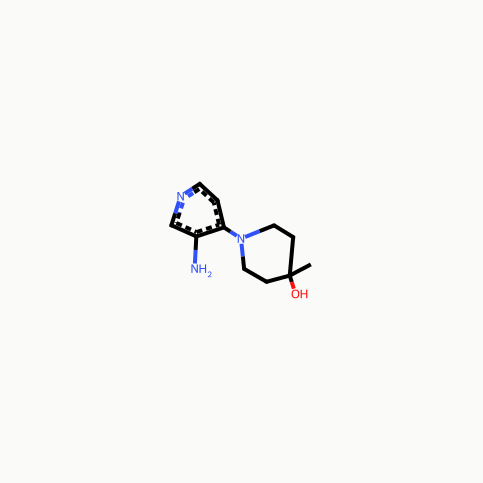 CC1(O)CCN(c2ccncc2N)CC1